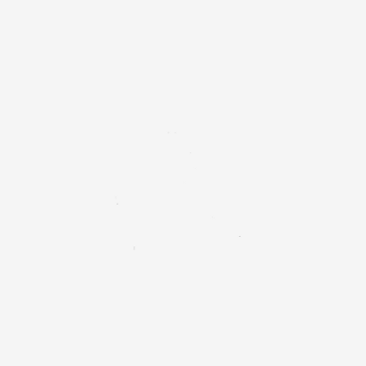 CCCCCCCCOC(=O)c1ccc(C(=O)OCCCCCCCC)cc1.O=C(O)c1ccccc1C(=O)O.OCCO